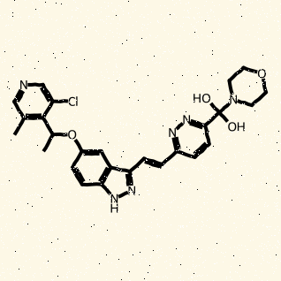 Cc1cncc(Cl)c1C(C)Oc1ccc2[nH]nc(/C=C/c3ccc(C(O)(O)N4CCOCC4)nn3)c2c1